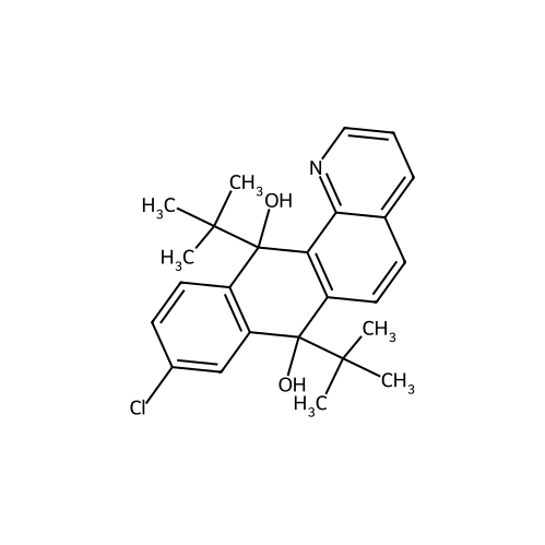 CC(C)(C)C1(O)c2cc(Cl)ccc2C(O)(C(C)(C)C)c2c1ccc1cccnc21